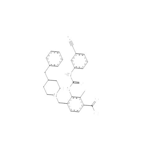 Cc1c(C(=O)O)ccc(CN2CCC(Cc3ccccc3)CC2)c1NC(=O)Nc1cccc(C#N)c1